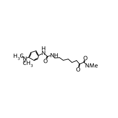 CNC(=O)C(=O)CCCCCCNC(=O)Nc1ccc(N(C)C)cc1